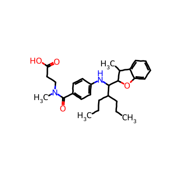 CCCC(CCC)C(Nc1ccc(C(=O)N(C)CCC(=O)O)cc1)C1Oc2ccccc2C1C